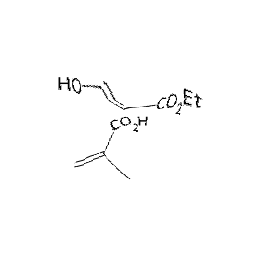 C=C(C)C(=O)O.CCOC(=O)C=CO